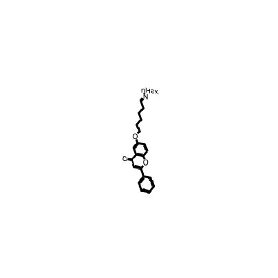 CCCCCCN=CCCCCCOc1ccc2oc(-c3ccccc3)cc(=O)c2c1